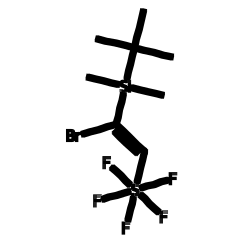 CC(C)(C)[Si](C)(C)C(Br)=CS(F)(F)(F)(F)F